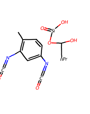 CCCC(O)O[Si](=O)O.Cc1ccc(N=C=O)cc1N=C=O